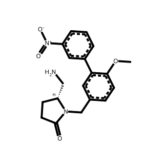 COc1ccc(CN2C(=O)CC[C@@H]2CN)cc1-c1cccc([N+](=O)[O-])c1